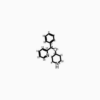 c1ccc(C(OC2CCNCC2)c2ccccn2)cc1